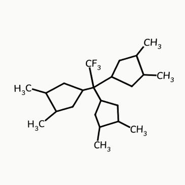 CC1CC(C(C2CC(C)C(C)C2)(C2CC(C)C(C)C2)C(F)(F)F)CC1C